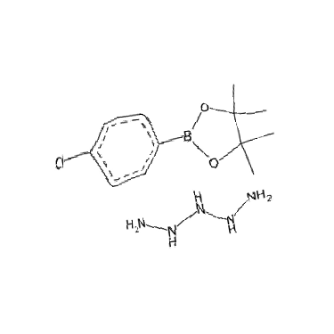 CC1(C)OB(c2ccc(Cl)cc2)OC1(C)C.NNNNN